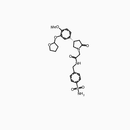 COc1ccc([C@@H]2CC(=O)N(CC(=O)NCc3ccc(S(N)(=O)=O)cc3)C2)cc1OC1CCCO1